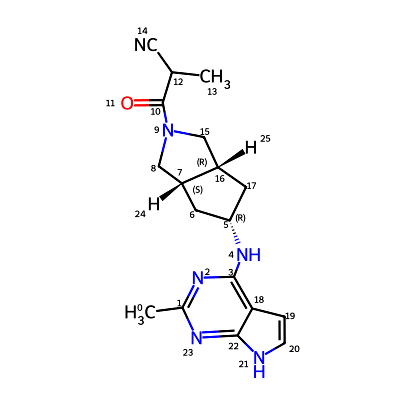 Cc1nc(N[C@@H]2C[C@@H]3CN(C(=O)C(C)C#N)C[C@@H]3C2)c2cc[nH]c2n1